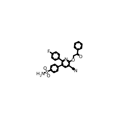 N#Cc1cc(-c2ccc(S(N)(=O)=O)cc2)c(-c2ccc(F)cc2)nc1OCC(=O)c1ccccc1